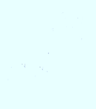 Cc1cccn2cc(-c3ccc(S(C)(=O)=O)cc3)nc12